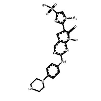 CC(C)n1c(=O)c(-c2nc(S(=O)(=O)C(C)C)cn2C)cc2cnc(Nc3ccc(N4CCNCC4)cc3)nc21